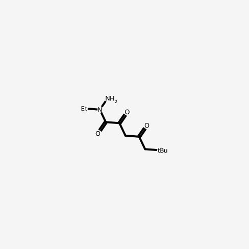 CCN(N)C(=O)C(=O)CC(=O)CC(C)(C)C